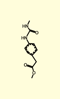 CNC(=O)Nc1ccc(CC(=O)OC)cc1